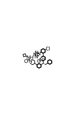 O=C(NC1CCC1)N1CCC(c2cccc([C@H](Cc3ccccc3)c3ccc(-c4cc(Cl)ccc4-n4cnnn4)c[n+]3[O-])c2)CC1